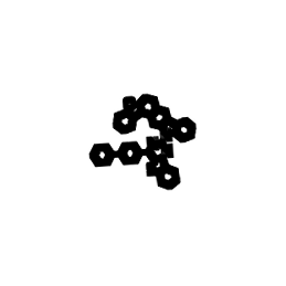 c1ccc(-c2ccc(-c3nc(-n4c5ccccc5c5cc6ccc7oc8ccccc8c7c6cc54)nc4c3sc3ccccc34)cc2)cc1